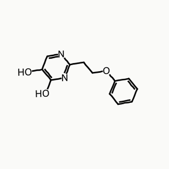 Oc1cnc(CCOc2ccccc2)nc1O